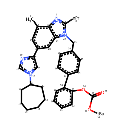 CCCc1nc2c(C)cc(-c3cn(C4CCCCCC4)cn3)cc2n1Cc1ccc(-c2ccccc2OC(=O)OC(C)(C)C)cc1